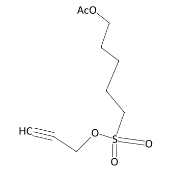 C#CCOS(=O)(=O)CCCCCOC(C)=O